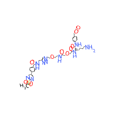 CS(=O)(=O)c1ncc(-c2ccc(C(=O)NCc3cn(CCOCCNC(=O)COCC(=O)N[C@@H](CCCCN)C(=O)Nc4ccc(COC=O)cc4)nn3)cc2)cn1